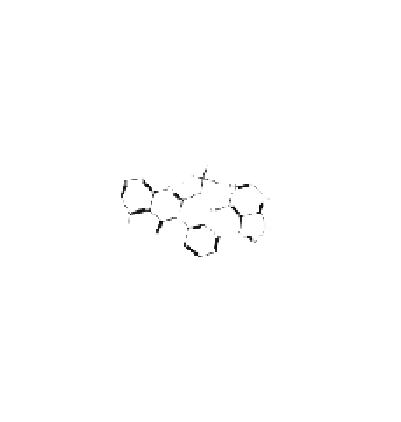 BC(B)(C)[C@H](Nc1ncnc2[nH]cnc12)c1nc2cccc(F)c2c(=O)n1-c1ccccc1